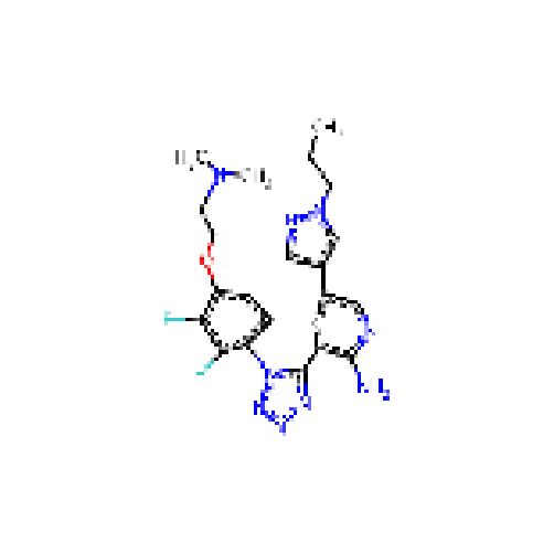 CCCn1cc(-c2cnc(N)c(-c3nnnn3-c3ccc(OCCN(C)C)c(F)c3F)c2)cn1